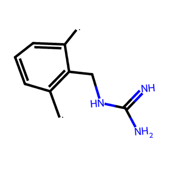 [CH2]c1cccc([CH2])c1CNC(=N)N